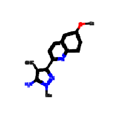 CCOc1ccc2nc(-c3nn(C(C)(C)C)c(N)c3C=O)ccc2c1